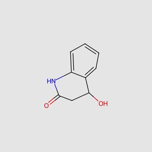 O=C1CC(O)c2ccccc2N1